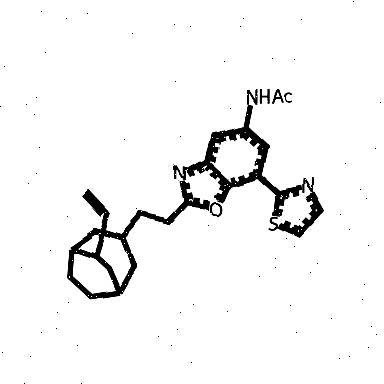 C=CC1CC2CCC1CC(CCc1nc3cc(NC(C)=O)cc(-c4nccs4)c3o1)C2